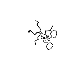 CCCCP(CCCC)(CCCC)(CCCC)OP(=O)(OC1CCCCC1)OC1CCCCC1